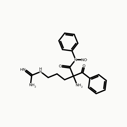 N=C(N)NCCCC(N)(C(=O)c1ccccc1)C(=O)N([N+]=O)c1ccccc1